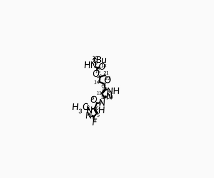 Cn1nc(F)cc1C(=O)Nc1cc(C2CC(OC(=O)NC(C)(C)C)CO2)[nH]n1